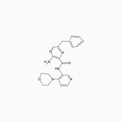 Nc1ncc(Cc2ccccc2)nc1C(=O)Nc1cnccc1N1CCOCC1